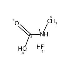 CNC(=O)O.F